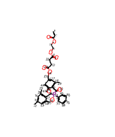 C=CC(=O)OCCOC(=O)CCC(=O)OCc1cc(C)c(C(=O)P(=O)(C(=O)c2c(C)cc(C)cc2C)c2ccccc2)c(C)c1